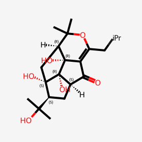 CC(C)CC1=C2C(=O)[C@H]3C[C@@H](C(C)(C)O)[C@@]4(O)C[C@@H](C(C)(C)O1)[C@]2(O)[C@@]34O